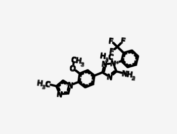 COc1cc(C2=N[N+](C)(c3ccccc3C(F)(F)F)C(N)=N2)ccc1-n1cnc(C)c1